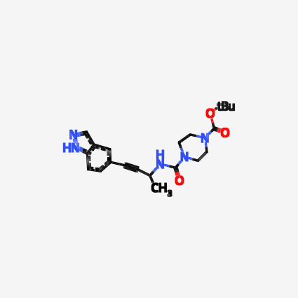 CC(C#Cc1ccc2[nH]ncc2c1)NC(=O)N1CCN(C(=O)OC(C)(C)C)CC1